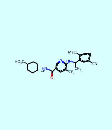 COc1ccc(C#N)cc1C(C)Nc1ncc(C(=O)NC[C@H]2CC[C@H](C(=O)O)CC2)cc1C(F)(F)F